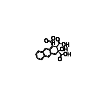 O=C(O)C1=c2cc3ccccc3cc2=CC(O)(C(=O)O)C1C(=O)O